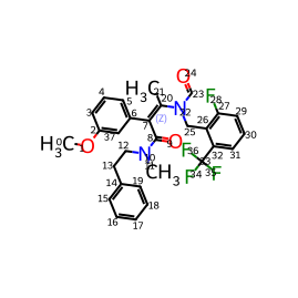 COc1cccc(/C(C(=O)N(C)CCc2ccccc2)=C(\C)N(C=O)Cc2c(F)cccc2C(F)(F)F)c1